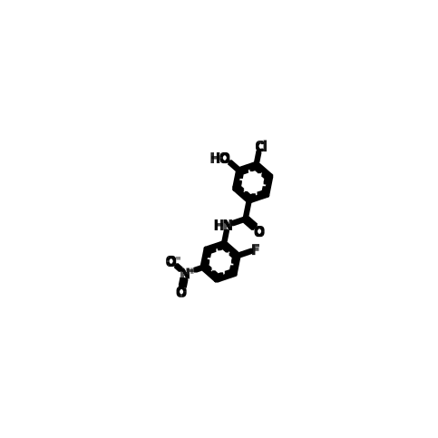 O=C(Nc1cc([N+](=O)[O-])ccc1F)c1ccc(Cl)c(O)c1